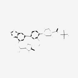 COc1cc(-c2cc(O[C@H](C)[C@H]3CNC(=O)C3)c3scnc3c2)ccc1N1CCN(C(=O)OC(C)(C)C)CC1